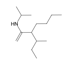 C=C(NC(C)C)C(CCCC)C(C)CC